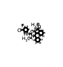 CCN(C(=O)Nc1ccc(F)c(Cl)c1)C(c1ccccc1)c1cnc(OC)c2ccccc12